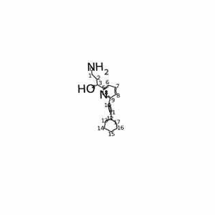 NCCC(O)c1cccc(C#CC2CCCCC2)n1